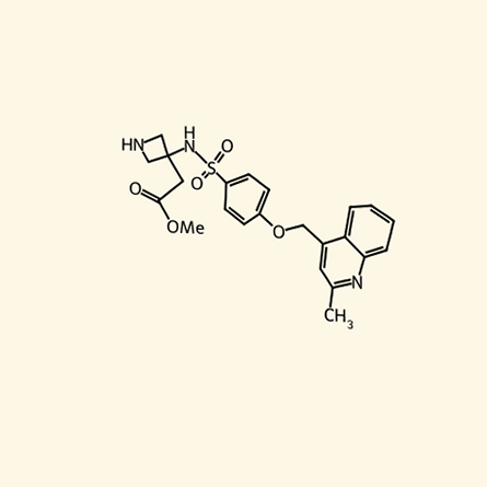 COC(=O)CC1(NS(=O)(=O)c2ccc(OCc3cc(C)nc4ccccc34)cc2)CNC1